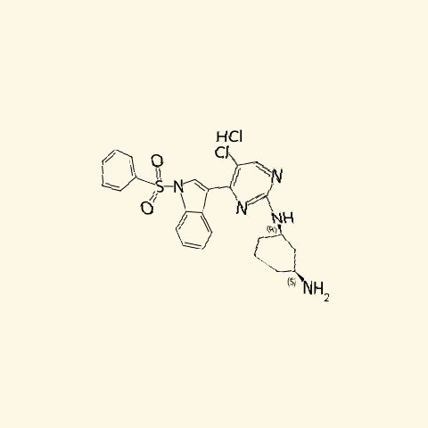 Cl.N[C@H]1CCC[C@@H](Nc2ncc(Cl)c(-c3cn(S(=O)(=O)c4ccccc4)c4ccccc34)n2)C1